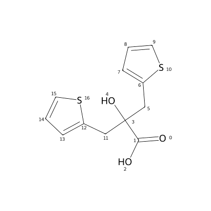 O=C(O)C(O)(Cc1cccs1)Cc1cccs1